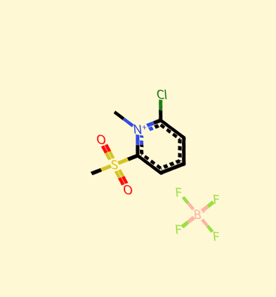 C[n+]1c(Cl)cccc1S(C)(=O)=O.F[B-](F)(F)F